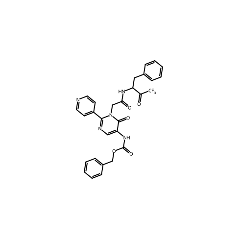 O=C(Cn1c(-c2ccncc2)ncc(NC(=O)OCc2ccccc2)c1=O)NC(Cc1ccccc1)C(=O)C(F)(F)F